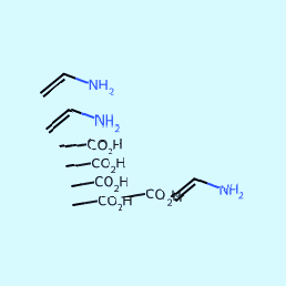 C=CN.C=CN.C=CN.CC(=O)O.CC(=O)O.CC(=O)O.CC(=O)O.CC(=O)O